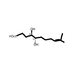 CCCCCCCCCC[C@@H](O)[C@@H](O)CCCC=C(C)C